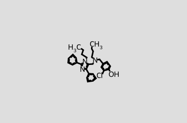 CCCCN(Cc1ccc(O)c(Cl)c1)Cc1c(-c2ccccc2)nc(-c2ccccc2)n1CCCC